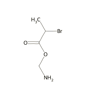 CC(Br)C(=O)OCN